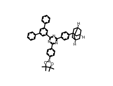 CC1(C)OB(c2ccc(-c3nc(-c4ccc(C56C[C@H]7C[C@@H](C5)C[C@@H](C6)C7)cc4)nc(-c4cc(-c5ccccc5)cc(-c5ccccc5)c4)n3)cc2)OC1(C)C